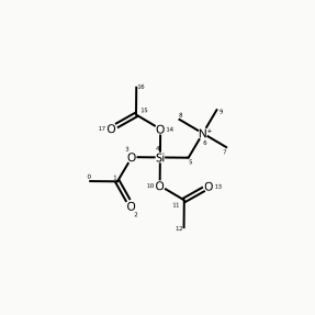 CC(=O)O[Si](C[N+](C)(C)C)(OC(C)=O)OC(C)=O